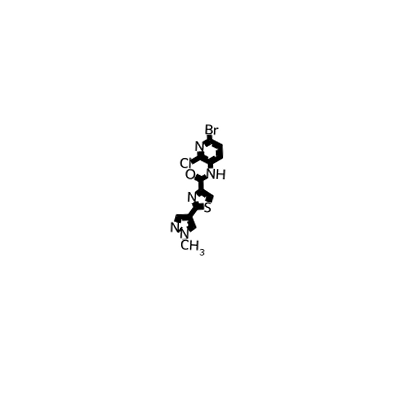 Cn1cc(-c2nc(C(=O)Nc3ccc(Br)nc3Cl)cs2)cn1